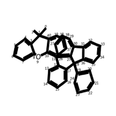 CC1(C)c2ccccc2Oc2c(-c3ccccc3C3(c4ccccc4)c4ccccc4-c4ccccc43)cccc21